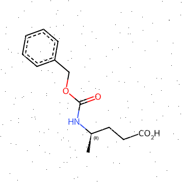 C[C@H](CCC(=O)O)NC(=O)OCc1ccccc1